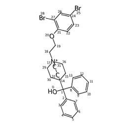 OC(c1ccccc1)(c1ccccc1)C12CC[N+](CCOc3ccc(Br)cc3Br)(CC1)CC2